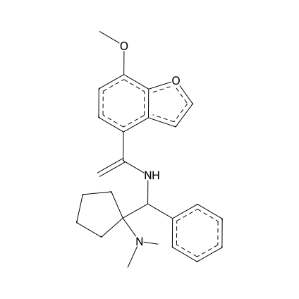 C=C(NC(c1ccccc1)C1(N(C)C)CCCC1)c1ccc(OC)c2occc12